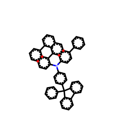 c1ccc(-c2ccc(N(c3ccc(C4(c5ccccc5)c5ccccc5-c5ccccc54)cc3)c3ccccc3-c3cccc4cccc(-c5ccccc5)c34)cc2)cc1